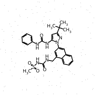 CC(C)(C)c1cc(NC(=O)Nc2ccccc2)n(-c2cc(CNC(=O)NS(C)(=O)=O)c3ccccc3c2)n1